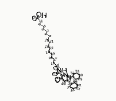 O=C(O)CCCCCCCCCCCCCCCCCONC(=O)c1nn(-c2ccccc2)c(-c2ccccc2)cc1=O